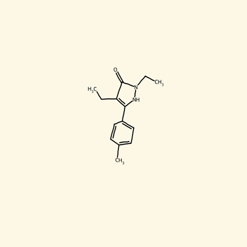 CCc1c(-c2ccc(C)cc2)[nH]n(CC)c1=O